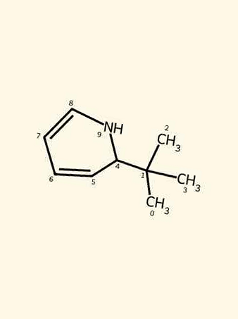 CC(C)(C)C1C=CC=CN1